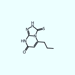 CCCc1cc(=O)[nH]c2n[nH]c(=S)n12